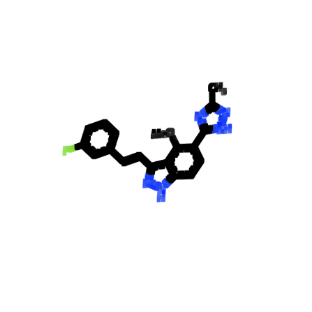 COc1c(-c2nc(C)n[nH]2)ccc2[nH]nc(C=Cc3cccc(F)c3)c12